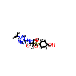 C=C(C)n1nnc(NC(=O)C(C)(C)S(=O)(=O)C2CCC(O)CC2)n1